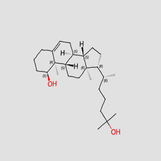 C[C@H](CCCC(C)(C)O)[C@H]1CC[C@H]2[C@@H]3CC=C4CCC[C@H](O)[C@]4(C)[C@H]3CC[C@]12C